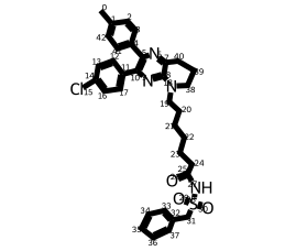 Cc1ccc(-c2nc3c(nc2-c2ccc(Cl)cc2)N(CCCCCCC(=O)NS(=O)(=O)Cc2ccccc2)CCC3)cc1